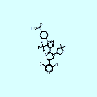 CC1(C)CC(N(CC(=O)c2c(Cl)cncc2Cl)C(=O)c2cnn([C@H]3CC[C@H](C(=O)O)CC3)c2C(F)(F)F)CO1